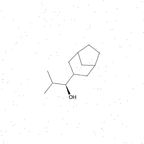 CC(C)[C@H](O)C1CC2CCC(C2)C1